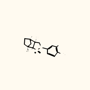 CCC[C@@]12[C@@H]3CC[C@@H](C3)[C@@H]1CN(c1ccc(C#N)c(C(F)(F)F)c1)S2(=O)=O